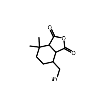 CC(C)CC1CCC(C)(C)C2C(=O)OC(=O)C12